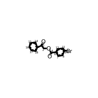 O=C(COC(=O)c1ccc(Br)cc1)c1ccccc1